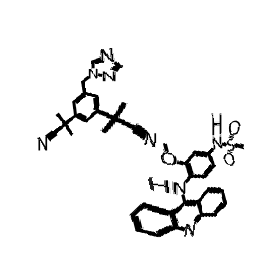 CC(C)(C#N)c1cc(Cn2cncn2)cc(C(C)(C)C#N)c1.COc1cc(NS(C)(=O)=O)ccc1Nc1c2ccccc2nc2ccccc12